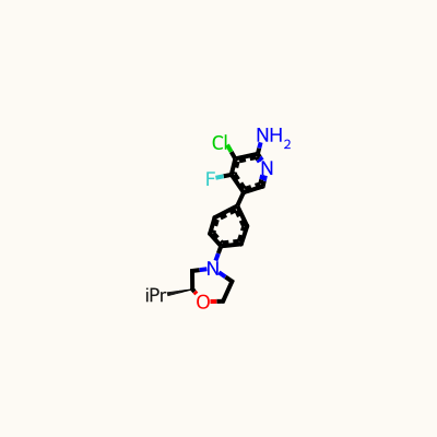 CC(C)[C@H]1CN(c2ccc(-c3cnc(N)c(Cl)c3F)cc2)CCO1